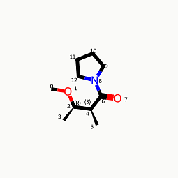 CO[C@H](C)[C@H](C)C(=O)N1CCCC1